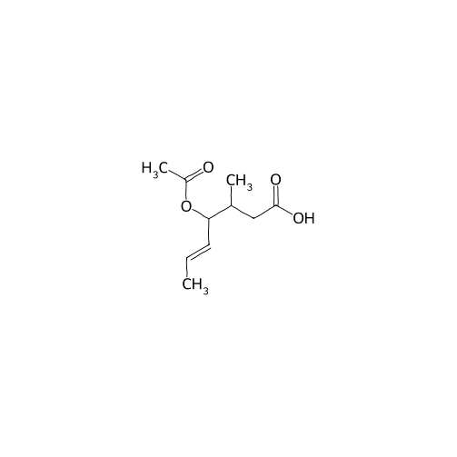 CC=CC(OC(C)=O)C(C)CC(=O)O